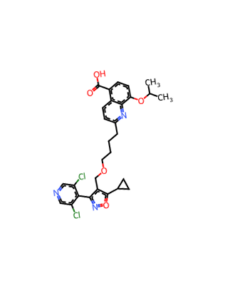 CC(C)Oc1ccc(C(=O)O)c2ccc(CCCCOCc3c(-c4c(Cl)cncc4Cl)noc3C3CC3)nc12